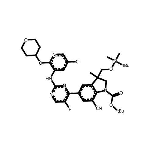 CC(C)(C)OC(=O)N1CC(C)(CO[Si](C)(C)C(C)(C)C)c2cc(-c3nc(Nc4cc(Cl)cnc4OC4CCOCC4)ncc3F)cc(C#N)c21